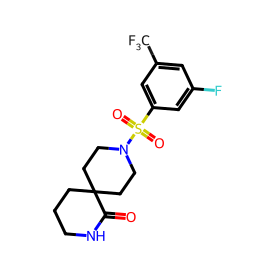 O=C1NCCCC12CCN(S(=O)(=O)c1cc(F)cc(C(F)(F)F)c1)CC2